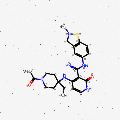 COC(=O)N1CCC(CC#N)(Nc2cc[nH]c(=O)c2C(=N)Nc2ccc3c(c2)CN(C(C)(C)C)S3)CC1